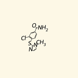 Cn1ccnc1Sc1ccc(C(N)=O)cc1Cl